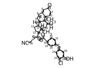 C[C@]12C=CC(=O)C=C1CC[C@H]1[C@@H]3CC[C@](OC(=O)c4ccc(Sc5ccc(Cl)c(O)c5)cc4)(C(=O)SCC#N)[C@@]3(C)C[C@H](O)[C@@]12F